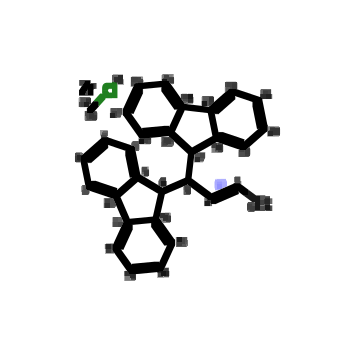 CC/C=C/C(C1c2ccccc2-c2ccccc21)C1c2ccccc2-c2ccccc21.CCl.[Zr]